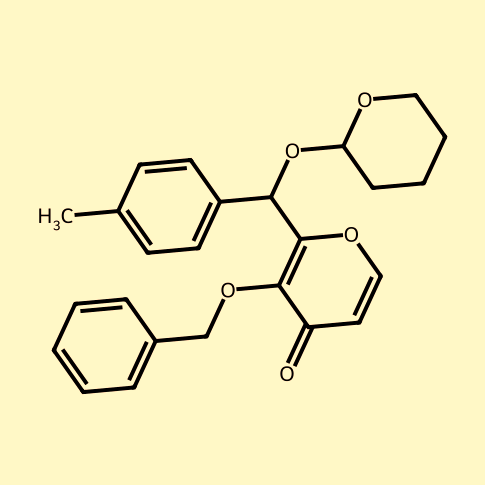 Cc1ccc(C(OC2CCCCO2)c2occc(=O)c2OCc2ccccc2)cc1